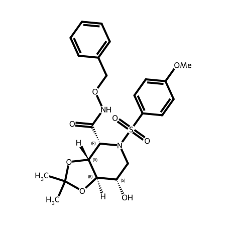 COc1ccc(S(=O)(=O)N2C[C@H](O)[C@H]3OC(C)(C)O[C@@H]3[C@@H]2C(=O)NOCc2ccccc2)cc1